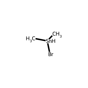 [CH3][SnH]([CH3])[Br]